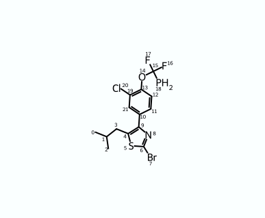 CC(C)Cc1sc(Br)nc1-c1ccc(OC(F)(F)P)c(Cl)c1